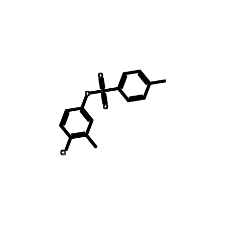 Cc1ccc(S(=O)(=O)Oc2ccc(Cl)c(C)c2)cc1